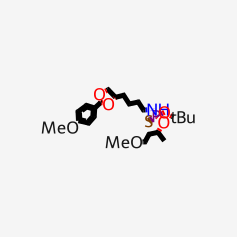 COCCC(C)OP(=S)(NCCCCC1COC(c2ccc(OC)cc2)O1)OC(C)(C)C